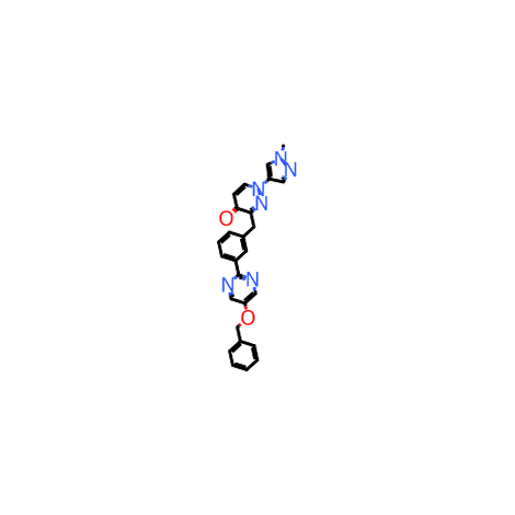 Cn1cc(-n2ccc(=O)c(Cc3cccc(-c4ncc(OCc5ccccc5)cn4)c3)n2)cn1